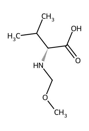 COCN[C@@H](C(=O)O)C(C)C